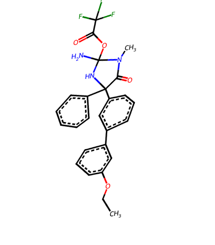 CCOc1cccc(-c2cccc(C3(c4ccccc4)NC(N)(OC(=O)C(F)(F)F)N(C)C3=O)c2)c1